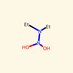 CCN(CC)N(O)O